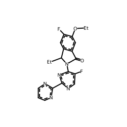 CCOc1cc2c(cc1F)C(CC)N(c1nc(-c3ncccn3)ncc1F)C2=O